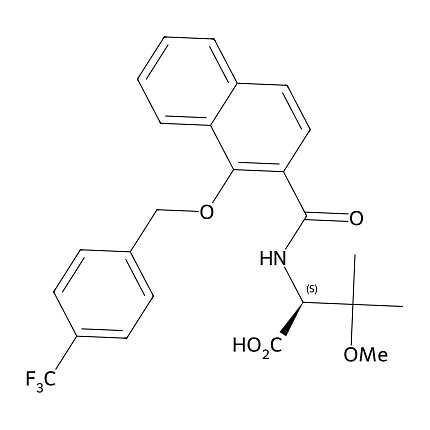 COC(C)(C)[C@H](NC(=O)c1ccc2ccccc2c1OCc1ccc(C(F)(F)F)cc1)C(=O)O